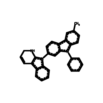 Cc1ccc2c(c1)c1ccc(-n3c4c(c5ccccc53)C=CCN4)cc1n2-c1ccccc1